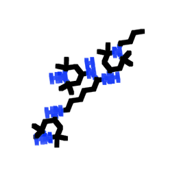 CCCCN1C(C)(C)CC(NC(CCCCCNC2CC(C)(C)NC(C)(C)C2)NC2CC(C)(C)NC(C)(C)C2)CC1(C)C